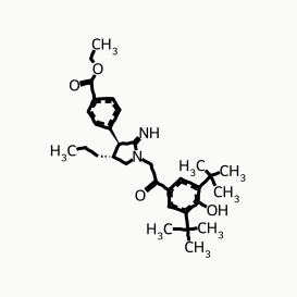 CCC[C@H]1CN(CC(=O)c2cc(C(C)(C)C)c(O)c(C(C)(C)C)c2)C(=N)[C@@H]1c1ccc(C(=O)OCC)cc1